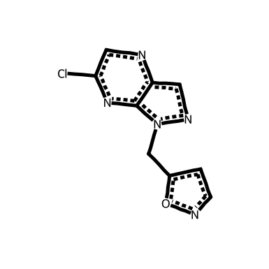 Clc1cnc2cnn(Cc3ccno3)c2n1